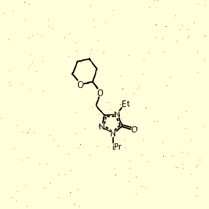 CCn1c(COC2CCCCO2)nn(C(C)C)c1=O